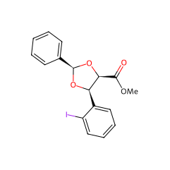 COC(=O)[C@@H]1O[C@H](c2ccccc2)O[C@@H]1c1ccccc1I